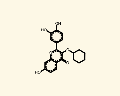 O=c1c(OC2CCCCC2)c(-c2ccc(O)c(O)c2)oc2cc(O)ccc12